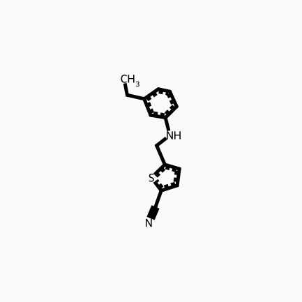 CCc1cccc(NCc2ccc(C#N)s2)c1